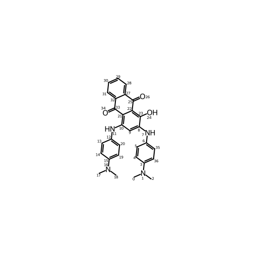 CN(C)c1ccc(Nc2cc(Nc3ccc(N(C)C)cc3)c3c(c2O)C(=O)c2ccccc2C3=O)cc1